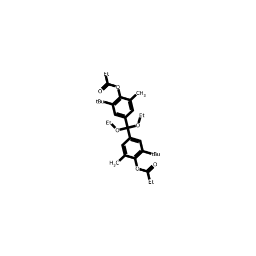 [CH2]COC(OC[CH2])(c1cc(C)c(OC(=O)CC)c(C(C)(C)C)c1)c1cc(C)c(OC(=O)CC)c(C(C)(C)C)c1